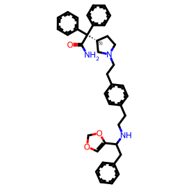 NC(=O)C(c1ccccc1)(c1ccccc1)[C@@H]1CCN(CCc2ccc(CCNC(Cc3ccccc3)C3=COCO3)cc2)C1